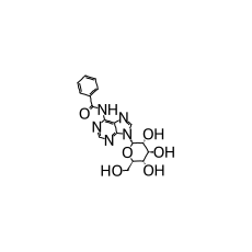 O=C(Nc1ncnc2c1ncn2[C@@H]1O[C@H](CO)[C@@H](O)[C@H](O)[C@H]1O)c1ccccc1